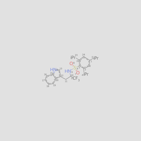 CC(C)c1cc(C(C)C)c(S(=O)(=O)NC(Cc2c[nH]c3ccccc23)C(F)(F)F)c(C(C)C)c1